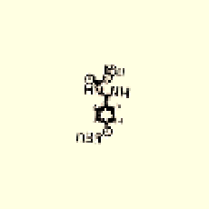 CCCCOc1ccc(C(=N)NC(=O)OC(C)(C)C)cc1